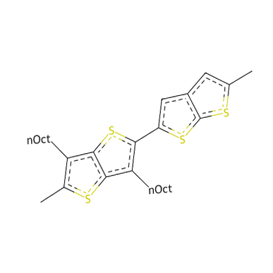 CCCCCCCCc1c(C)sc2c(CCCCCCCC)c(-c3cc4cc(C)sc4s3)sc12